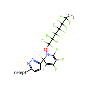 CCCCCCCc1ccc(C2(F)C(F)=C(F)C(F)=C(F)N2OC(F)(F)C(F)(F)C(F)(F)C(F)(F)C(F)(F)C(F)(F)C(F)(F)F)nn1